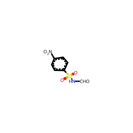 O=CNS(=O)(=O)c1ccc([N+](=O)[O-])cc1